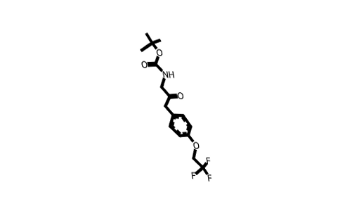 CC(C)(C)OC(=O)NCC(=O)Cc1ccc(OCC(F)(F)F)cc1